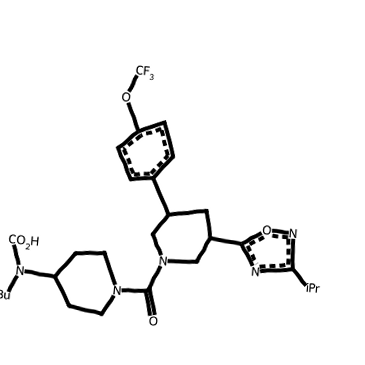 CC(C)c1noc(C2CC(c3ccc(OC(F)(F)F)cc3)CN(C(=O)N3CCC(N(C(=O)O)C(C)(C)C)CC3)C2)n1